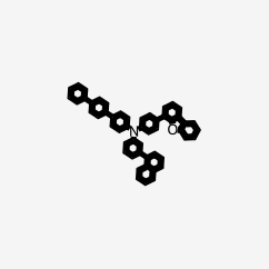 c1ccc(-c2ccc(-c3ccc(N(c4ccc(-c5cccc6c5oc5ccccc56)cc4)c4cccc(-c5cccc6ccccc56)c4)cc3)cc2)cc1